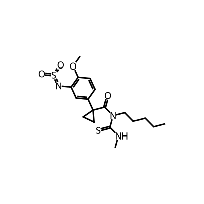 CCCCCN(C(=O)C1(c2ccc(OC)c(N=S(=O)=O)c2)CC1)C(=S)NC